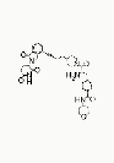 N[C@@H](Cc1ccc(C(=O)NC2CCOCC2)cc1)C(=O)N1CCC(CCC#Cc2cccc3c2CN(C2CCC(=O)NC2=O)C3=O)CC1